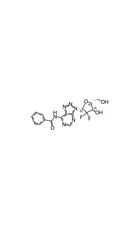 O=C(Nc1ncnc2c1nnn2[C@@H]1O[C@H](CO)[C@@H](O)C1(F)F)c1ccccc1